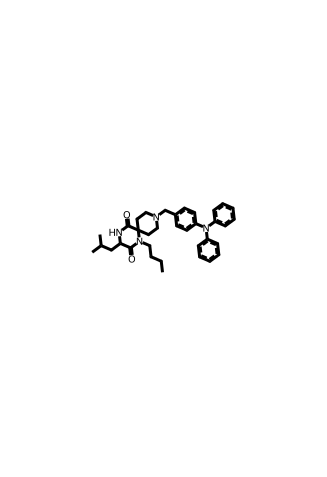 CCCCN1C(=O)C(CC(C)C)NC(=O)C12CCN(Cc1ccc(N(c3ccccc3)c3ccccc3)cc1)CC2